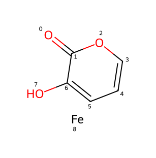 O=c1occcc1O.[Fe]